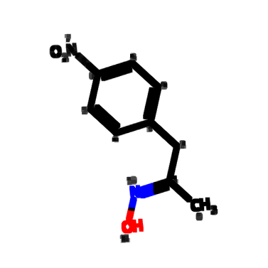 CC(Cc1ccc([N+](=O)[O-])cc1)=NO